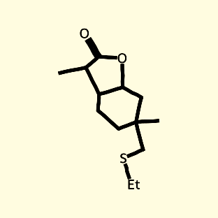 CCSCC1(C)CCC2C(C1)OC(=O)C2C